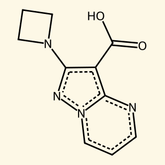 O=C(O)c1c(N2CCC2)nn2cccnc12